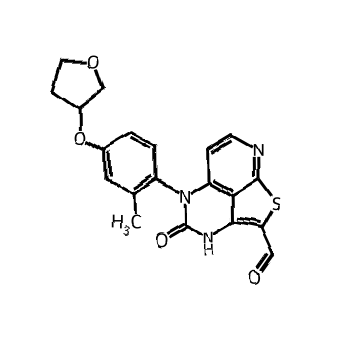 Cc1cc(OC2CCOC2)ccc1N1C(=O)Nc2c(C=O)sc3nccc1c23